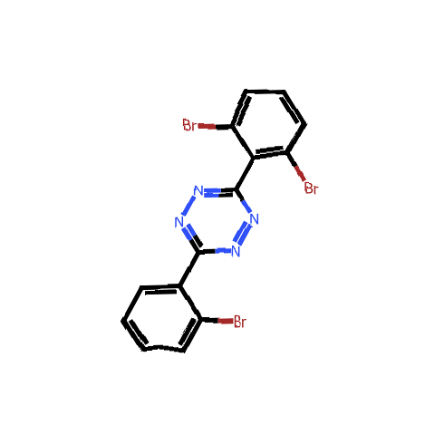 Brc1ccccc1-c1nnc(-c2c(Br)cccc2Br)nn1